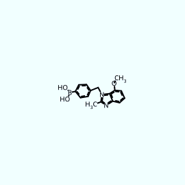 COc1cccc2nc(C)n(Cc3ccc(B(O)O)cc3)c12